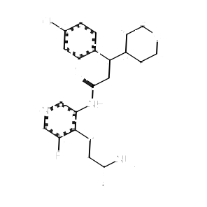 C[C@@H](N)CCc1c(F)cncc1NC(=O)CC(c1ccc(Cl)cc1)C1CCOCC1